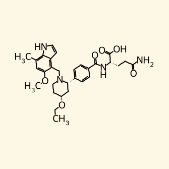 CCO[C@@H]1CCN(Cc2c(OC)cc(C)c3[nH]ccc23)[C@H](c2ccc(C(=O)N[C@@H](CCC(N)=O)C(=O)O)cc2)C1